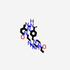 C=CC(=O)N1CCN(Cc2ccc([C@H](C)Nc3ncc4ccc(=O)n(CCCN=[N+]=N)c4n3)cc2)CC1